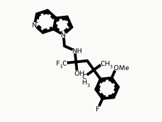 COc1ccc(F)cc1C(C)(C)CC(O)(NCn1ccc2ccncc21)C(F)(F)F